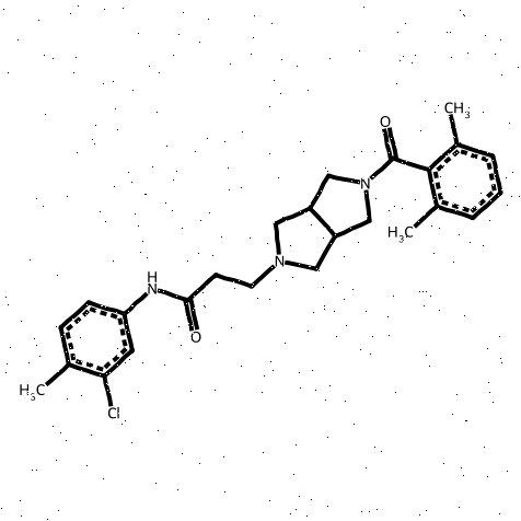 Cc1ccc(NC(=O)CCN2CC3CN(C(=O)c4c(C)cccc4C)CC3C2)cc1Cl